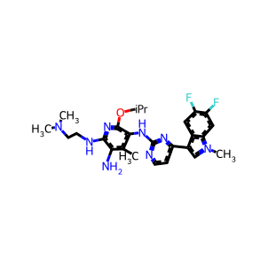 Cc1c(N)c(NCCN(C)C)nc(OC(C)C)c1Nc1nccc(-c2cn(C)c3cc(F)c(F)cc23)n1